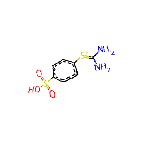 NC(N)=[S+]c1ccc(S(=O)(=O)O)cc1